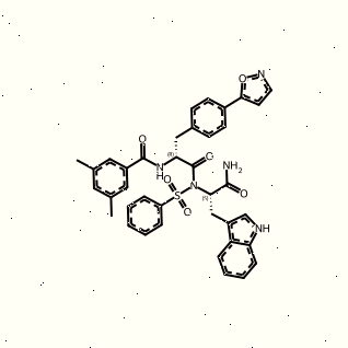 Cc1cc(C)cc(C(=O)N[C@H](Cc2ccc(-c3ccno3)cc2)C(=O)N([C@@H](Cc2c[nH]c3ccccc23)C(N)=O)S(=O)(=O)c2ccccc2)c1